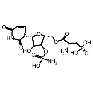 N[C@@H](CP(=O)(O)O)C(=O)OC[C@H]1O[C@@H](n2ccc(=O)[nH]c2=O)[C@H](O)[C@@H]1OP(N)(=O)O